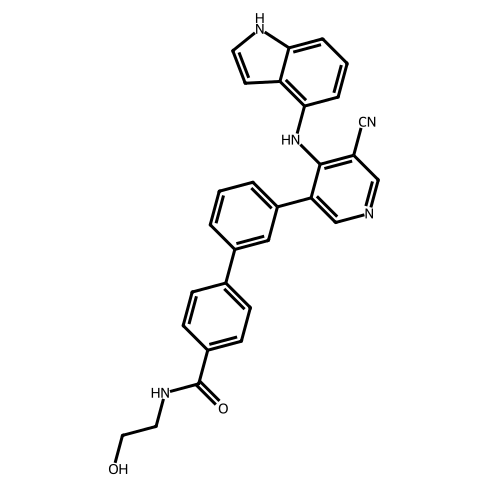 N#Cc1cncc(-c2cccc(-c3ccc(C(=O)NCCO)cc3)c2)c1Nc1cccc2[nH]ccc12